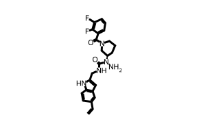 C=Cc1ccc2[nH]c(CNC(=O)N(N)[C@@H]3CCCN(C(=O)c4cccc(F)c4F)C3)cc2c1